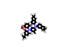 Cc1cc2c3c(c1)N(c1c(C)cc(C(C)(C)C)cc1C)c1c(ccc4c1OCO4)B3c1cc3c(cc1N2c1ccc2c(c1)CC(C)(C)C2)CC(C)(C)C3